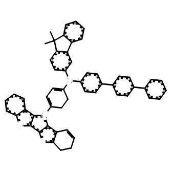 CC1(C)c2ccccc2-c2cc(N(C3=CC=C(n4c5c6c(sc5c5oc7ccccc7c54)CCC=C6)CC3)c3ccc(-c4ccc(-c5ccccc5)cc4)cc3)ccc21